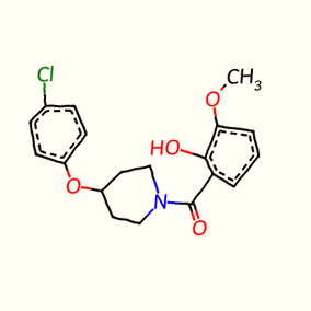 COc1cccc(C(=O)N2CCC(Oc3ccc(Cl)cc3)CC2)c1O